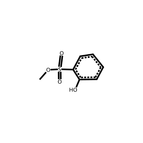 COS(=O)(=O)c1ccccc1O